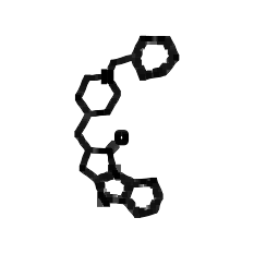 O=C1C(CC2CCN(Cc3ccccc3)CC2)Cc2nc3ccccc3n21